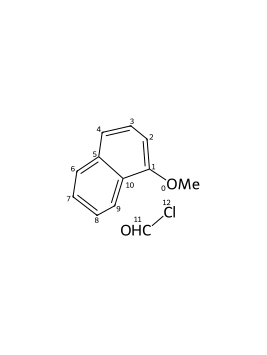 COc1cccc2ccccc12.O=CCl